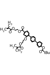 C=C(C)C(=O)OCCOC(=O)c1ccc(-c2ccc(-c3ccc(OC(=O)C(C)(C)C)cc3)cc2)c(OCCOC(=O)C(=C)C)c1